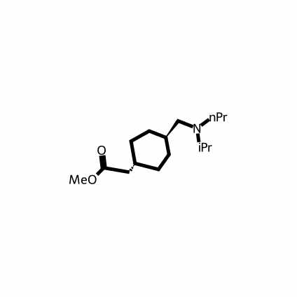 CCCN(C[C@H]1CC[C@H](CC(=O)OC)CC1)C(C)C